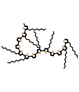 CCCCCCCCc1ccsc1-c1cc(CCCCCCCC)c(-c2ccc(-c3ccc(-c4sc(-c5sc(-c6ccc(-c7cc(CCCCCCCC)c(-c8cc(CCCCCCCC)c(-c9ccc(-c%10ccc(-c%11sc(-c%12sc(C)cc%12CCCCCCCC)cc%11CCCCCCCC)s%10)s9)s8)s7)s6)cc5CCCCCCCC)cc4CCCCCCCC)s3)s2)s1